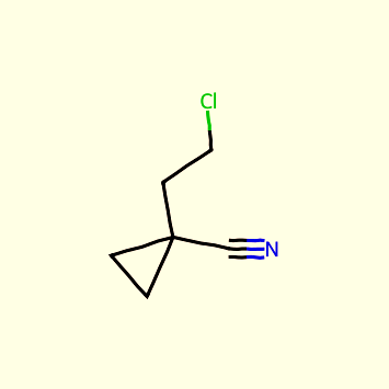 N#CC1(CCCl)CC1